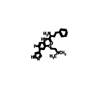 CN(C)CCOc1cc(-c2cn[nH]c2)c(F)cc1NC(=O)[C@H](N)CCc1ccccc1